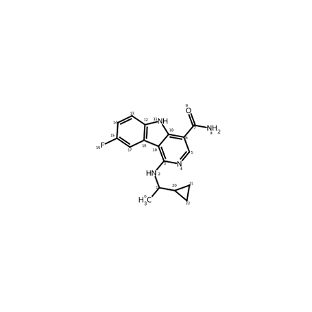 CC(Nc1ncc(C(N)=O)c2[nH]c3ccc(F)cc3c12)C1CC1